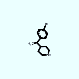 CC(c1ccc(Br)cc1)C1CCNCC1